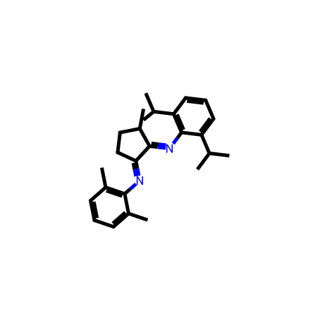 Cc1cccc(C)c1N=C1CCC(C)C1=Nc1c(C(C)C)cccc1C(C)C